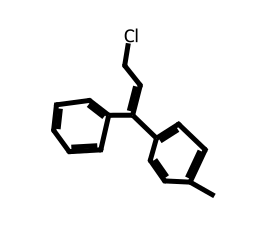 Cc1ccc(C(=CCCl)c2ccccc2)cc1